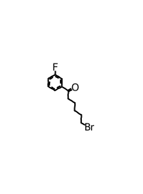 O=C(CCCCCBr)c1cccc(F)c1